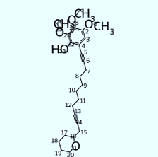 COc1cc(C#CCCCCCCC#CCC2CCCCO2)c(O)c(OC)c1OC